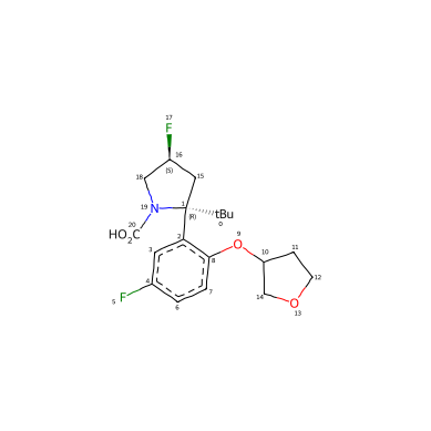 CC(C)(C)[C@@]1(c2cc(F)ccc2OC2CCOC2)C[C@H](F)CN1C(=O)O